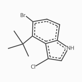 CC(C)(C)c1c(Br)ccc2[nH]cc(Cl)c12